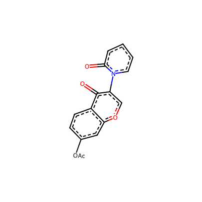 CC(=O)Oc1ccc2c(=O)c(-n3ccccc3=O)coc2c1